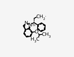 [CH2]C[C@@H](c1ccccc1)n1ncc2cccc(OC(C)C)c21